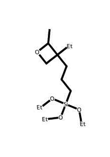 CCO[Si](CCCC1(CC)COC1C)(OCC)OCC